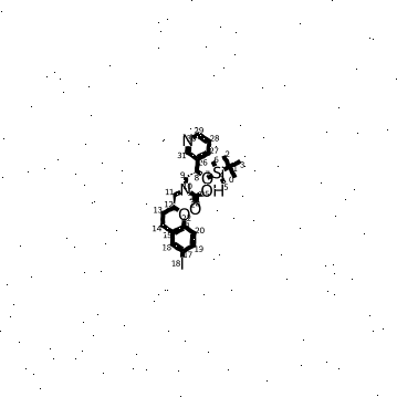 CC(C)(C)[Si](C)(C)O[C@H](CN(C[C@@H]1CCc2cc(I)ccc2O1)C(=O)O)c1cccnc1